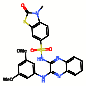 COc1cc(Nc2nc3ccccc3nc2NS(=O)(=O)c2ccc3c(c2)sc(=O)n3C)cc(OC)c1